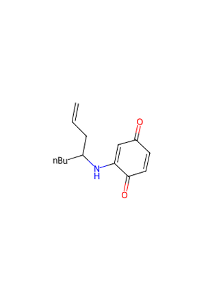 C=CCC(CCCC)NC1=CC(=O)C=CC1=O